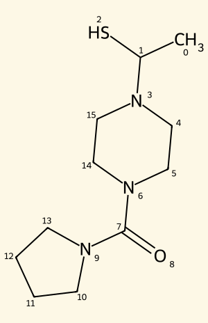 CC(S)N1CCN(C(=O)N2CCCC2)CC1